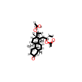 CC[C@H](OC(C)=O)[C@H]1C[C@H](OC(C)=O)[C@@]2(C)CC[C@H]3[C@@H](CC[C@H]4CC(=O)C[C@H](C)[C@@]43C)[C@H]12